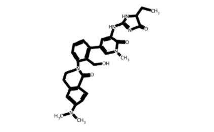 CCC1NC(Nc2cc(-c3cccc(N4CCc5cc(N(C)C)ccc5C4=O)c3CO)cn(C)c2=O)=NC1=O